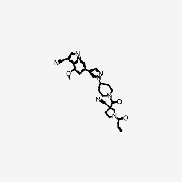 C=CC(=O)N1CCC(C#N)(C(=O)N2CCC(n3cc(-c4cc(OC)c5c(C#N)cnn5c4)cn3)CC2)C1